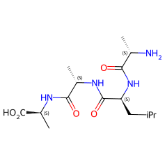 CC(C)C[C@H](NC(=O)[C@H](C)N)C(=O)N[C@@H](C)C(=O)N[C@@H](C)C(=O)O